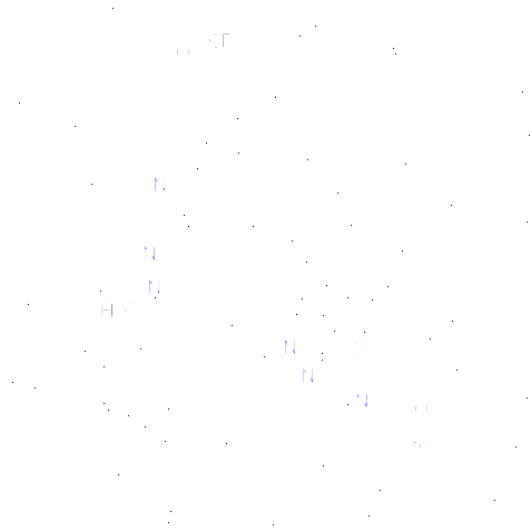 CC(C)c1ccccc1N1C(=O)CS/C1=N\N=C\c1ccc2c(/C=N/c3ccc(OC(F)(F)F)cc3)nn(C)c2c1